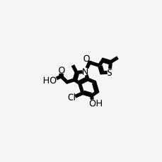 Cc1cc(C(=O)n2c(C)c(CC(=O)O)c3c(Cl)c(O)ccc32)cs1